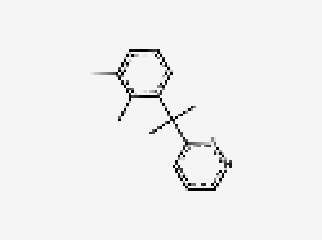 Cc1cccc(C(C)(C)c2cccnn2)c1C